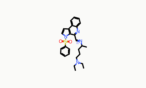 CCN(CC)CCCC(C)/N=C/c1nc2ccccc2c2ccn(S(=O)(=O)c3ccccc3)c12